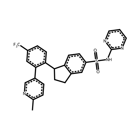 Cc1ccc(-c2cc(C(F)(F)F)ccc2C2CCc3cc(S(=O)(=O)Nc4ncccn4)ccc32)cn1